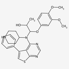 COc1ccc(OC(C(C)O)N(c2ncnc3scc(-c4ccccc4)c23)C2CCNCC2)cc1OC